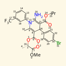 COC(=O)[C@H](C)OC(=O)C1=C(C)N(c2cccc(C(F)(F)F)c2)C(N)=C(C(=O)OC(C)C)C1c1ccc(Br)cc1